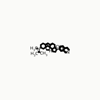 CC(C)N(C)[C@H]1CCC2=CC3=CC[C@]4(C)[C@@H](c5ccc6ccncc6c5)CC[C@H]4[C@@]34CC[C@]2(C1)C4